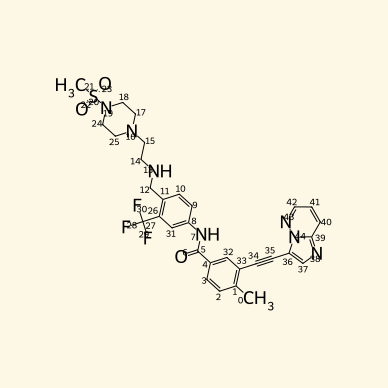 Cc1ccc(C(=O)Nc2ccc(CNCCN3CCN(S(C)(=O)=O)CC3)c(C(F)(F)F)c2)cc1C#Cc1cnc2cccnn12